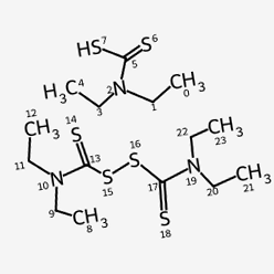 CCN(CC)C(=S)S.CCN(CC)C(=S)SSC(=S)N(CC)CC